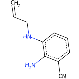 C=CCNc1cccc(C#N)c1N